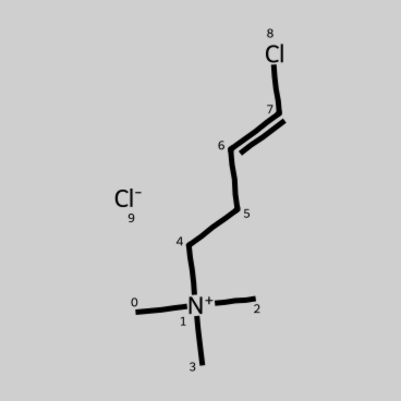 C[N+](C)(C)CC/C=C/Cl.[Cl-]